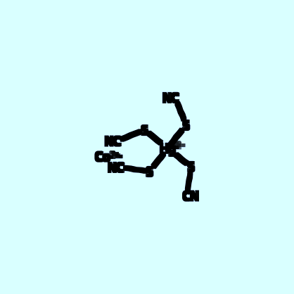 N#C[S][Hg-2]([S]C#N)([S]C#N)[S]C#N.[Co+2]